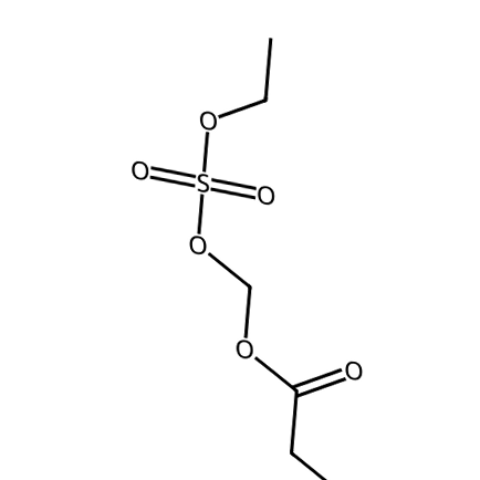 CCOS(=O)(=O)OCOC(=O)CC